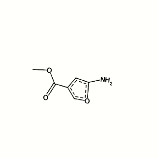 COC(=O)c1coc(N)c1